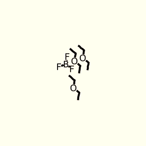 CCOCC.CCOCC.CCOCC.FB(F)F